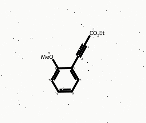 CCOC(=O)C#Cc1ccccc1OC